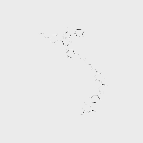 Cc1nn2c(N3CCN(CCO)CC3)cc(-c3cccc(CCCCCCCN4CCN(C(=O)CNc5ccc(C6CCC(=O)NC6=O)cc5)CC4)c3)nc2c1-c1ccccc1